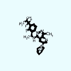 Cc1nnc(N[C@H](C)c2cccc(C(F)(F)C(C)O)c2F)c2cc(N3CC4CC(C3)O4)cnc12